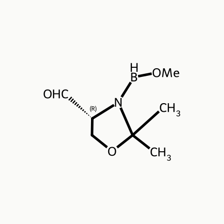 COBN1[C@@H](C=O)COC1(C)C